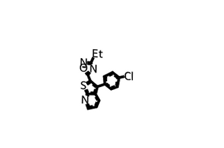 CCc1noc(-c2sc3ncccc3c2-c2ccc(Cl)cc2)n1